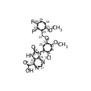 COc1cc(Cl)c(-n2c(=O)[nH]c3c(C(=O)O)ncnc32)cc1OCc1c(OC)ccc(F)c1F